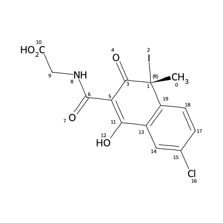 C[C@]1(I)C(=O)C(C(=O)NCC(=O)O)=C(O)c2cc(Cl)ccc21